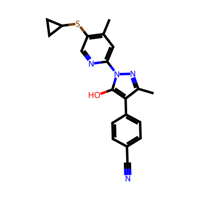 Cc1cc(-n2nc(C)c(-c3ccc(C#N)cc3)c2O)ncc1SC1CC1